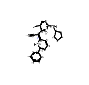 Cc1cnc(NC2CCCC2)nc1/C(C#N)=C1\C=CC=C(c2ccccc2)N1